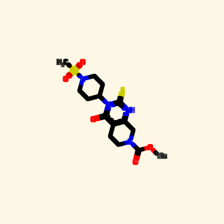 CC(C)(C)OC(=O)N1CCc2c([nH]c(=S)n(C3CCN(S(C)(=O)=O)CC3)c2=O)C1